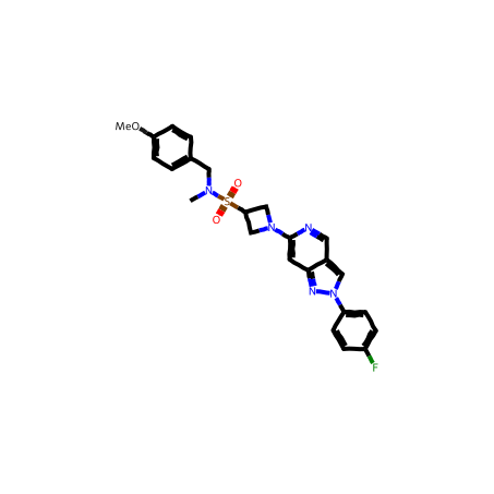 COc1ccc(CN(C)S(=O)(=O)C2CN(c3cc4nn(-c5ccc(F)cc5)cc4cn3)C2)cc1